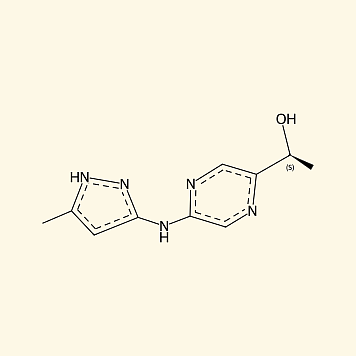 Cc1cc(Nc2cnc([C@H](C)O)cn2)n[nH]1